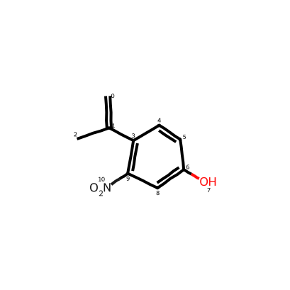 C=C(C)c1ccc(O)cc1[N+](=O)[O-]